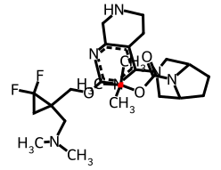 CN(C)CC1(COc2nc3c(c(N4CC5CCC(C4)N5C(=O)OC(C)(C)C)n2)CCNC3)CC1(F)F